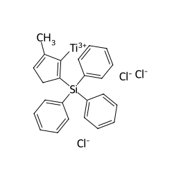 CC1=CCC([Si](c2ccccc2)(c2ccccc2)c2ccccc2)=[C]1[Ti+3].[Cl-].[Cl-].[Cl-]